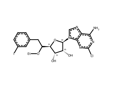 CCOC(Cc1cccc(I)c1)[C@H]1O[C@@H](n2cnc3c(N)nc(Cl)nc32)[C@H](O)[C@@H]1O